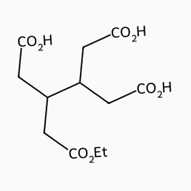 CCOC(=O)CC(CC(=O)O)C(CC(=O)O)CC(=O)O